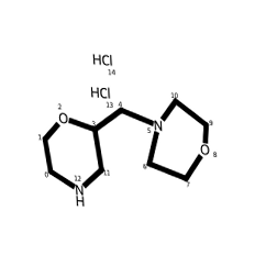 C1COC(CN2CCOCC2)CN1.Cl.Cl